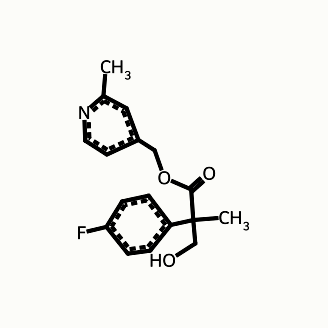 Cc1cc(COC(=O)C(C)(CO)c2ccc(F)cc2)ccn1